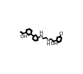 C=C(O)c1cccc(-c2cccc(NCCNC[C@H](O)c3cccc(Cl)c3)c2)c1